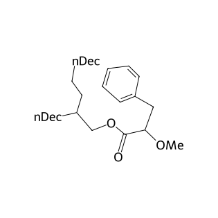 CCCCCCCCCCCCC(CCCCCCCCCC)COC(=O)C(Cc1ccccc1)OC